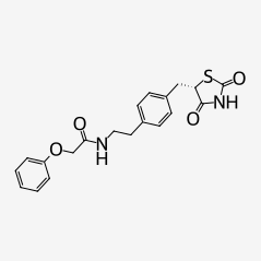 O=C(COc1ccccc1)NCCc1ccc(C[C@@H]2SC(=O)NC2=O)cc1